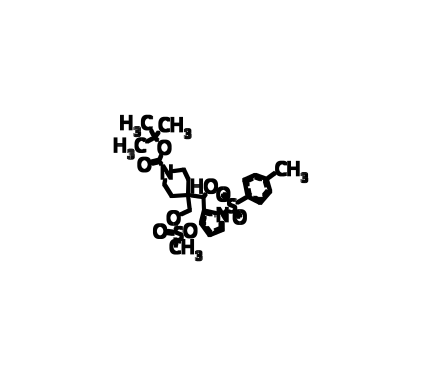 Cc1ccc(S(=O)(=O)n2cccc2C(O)C2(COS(C)(=O)=O)CCN(C(=O)OC(C)(C)C)CC2)cc1